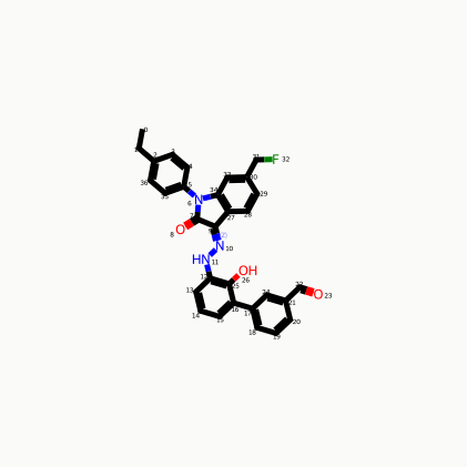 CCc1ccc(N2C(=O)/C(=N\Nc3cccc(-c4cccc(C=O)c4)c3O)c3ccc(CF)cc32)cc1